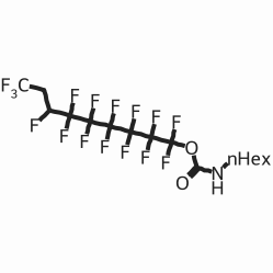 CCCCCCNC(=O)OC(F)(F)C(F)(F)C(F)(F)C(F)(F)C(F)(F)C(F)(F)C(F)CC(F)(F)F